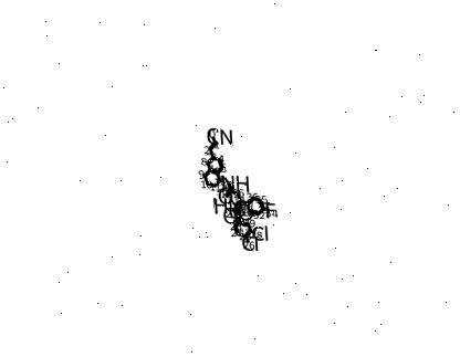 N#C/C=C/c1ccc2c(c1)CCCC2NC(=O)CC(NS(=O)(=O)c1ccc(Cl)c(Cl)c1)c1ccc(F)cc1